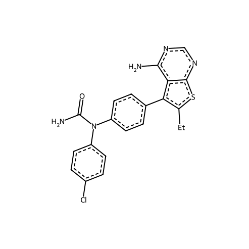 CCc1sc2ncnc(N)c2c1-c1ccc(N(C(N)=O)c2ccc(Cl)cc2)cc1